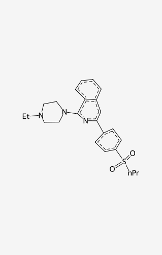 CCCS(=O)(=O)c1ccc(-c2cc3ccccc3c(N3CCN(CC)CC3)n2)cc1